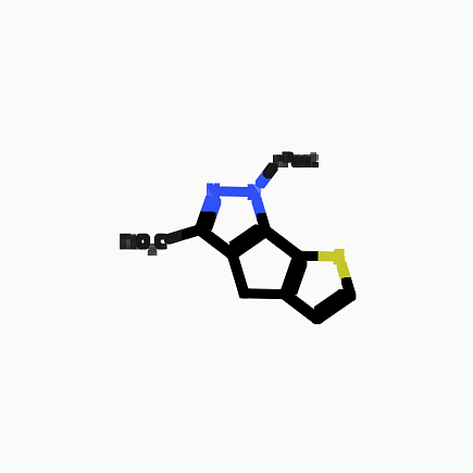 CCCCCn1nc(C(=O)OCC)c2c1-c1sccc1C2